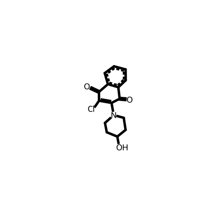 O=C1C(Cl)=C(N2CCC(O)CC2)C(=O)c2ccccc21